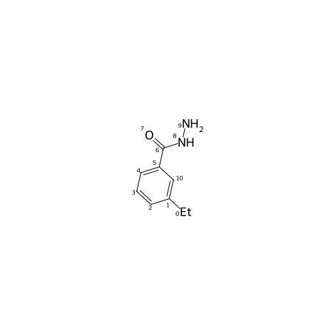 CCc1cccc(C(=O)NN)c1